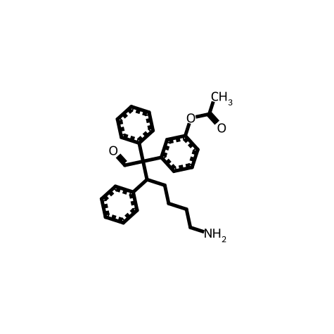 CC(=O)Oc1cccc(C(C=O)(c2ccccc2)C(CCCCN)c2ccccc2)c1